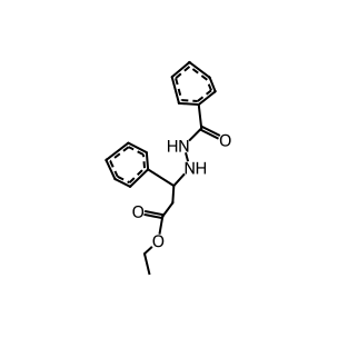 CCOC(=O)CC(NNC(=O)c1ccccc1)c1ccccc1